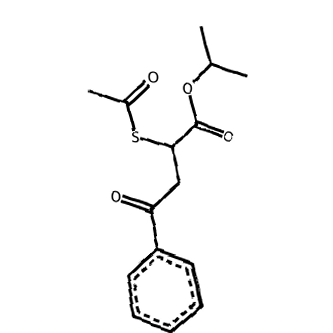 CC(=O)SC(CC(=O)c1ccccc1)C(=O)OC(C)C